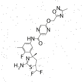 Cc1noc(COc2cnc(C(=O)Nc3cc(C)c(F)c([C@@]4(C)N=C(N)S[C@](C)(C(F)F)[C@H]4C)c3)cn2)n1